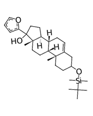 CC(C)(C)[Si](C)(C)OC1CC[C@@]2(C)C(=CC[C@@H]3[C@H]2CC[C@@]2(C)[C@H]3CCC2(O)c2ccco2)C1